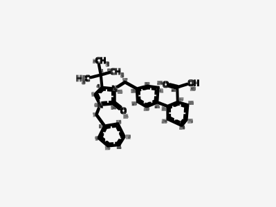 CC(C)(C)c1cn(Cc2ccccc2)c(=O)n1Cc1ccc(-c2ccccc2C(=O)O)cc1